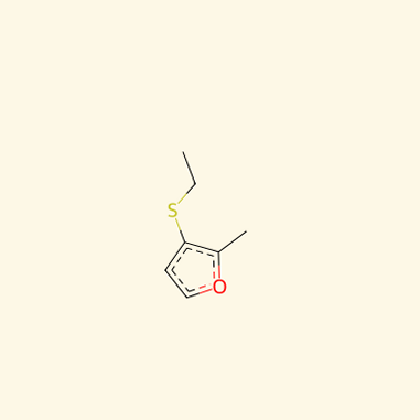 CCSc1ccoc1C